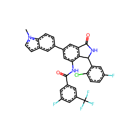 Cn1ccc2cc(-c3cc(NC(=O)c4cc(F)cc(C(F)(F)F)c4)c4c(c3)C(=O)NC4c3cc(F)ccc3Cl)ccc21